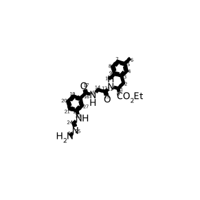 CCOC(=O)C(Cc1cc(C)ccc1C)NC(=O)CNC(=O)c1cccc(NC=NN)c1